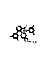 Cc1cc(C)cc(NC(=O)c2cncc(-c3cc(C)cc(C)c3)c2N2CCC(F)(CNC(=O)O)CC2)c1